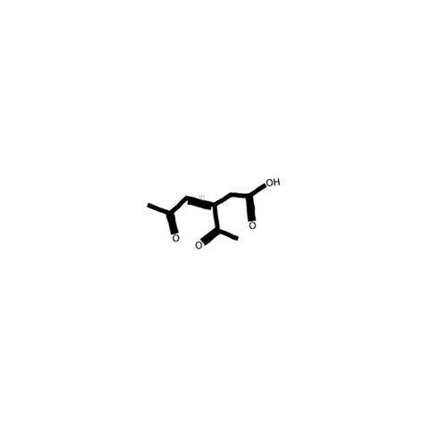 CC(=O)/C=C(/CC(=O)O)C(C)=O